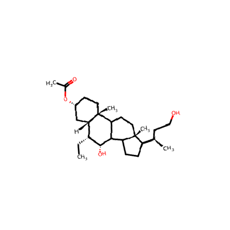 CC[C@H]1[C@@H](O)C2C3CCC([C@H](C)CCO)[C@@]3(C)CCC2[C@@]2(C)CC[C@@H](OC(C)=O)C[C@@H]12